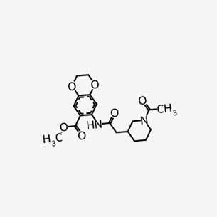 COC(=O)c1cc2c(cc1NC(=O)CC1CCCN(C(C)=O)C1)OCCO2